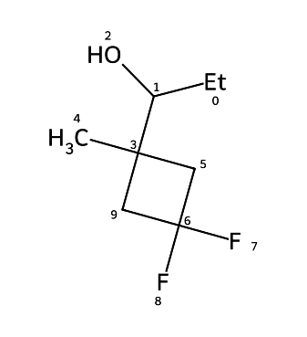 CCC(O)C1(C)CC(F)(F)C1